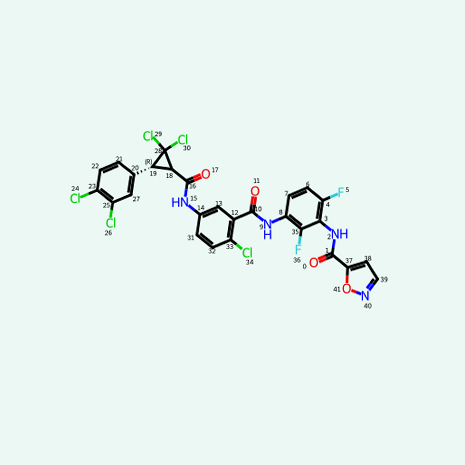 O=C(Nc1c(F)ccc(NC(=O)c2cc(NC(=O)C3[C@H](c4ccc(Cl)c(Cl)c4)C3(Cl)Cl)ccc2Cl)c1F)c1ccno1